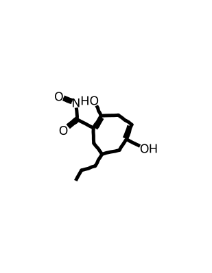 CCCC1C/C(C(=O)N=O)=C(/O)C/C=C(/O)C1